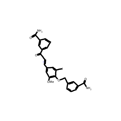 COc1cc(/C=C/C(=O)c2cccc(C(N)=O)c2)cc(I)c1OCc1cccc(C(N)=O)c1